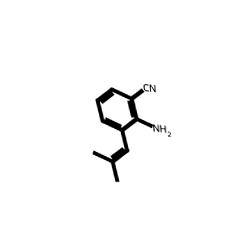 CC(C)=Cc1cccc(C#N)c1N